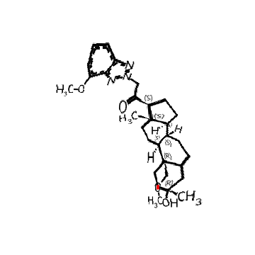 COC[C@]12CC[C@@](C)(O)CC1CC[C@@H]1[C@@H]2CC[C@]2(C)[C@@H](C(=O)Cn3nc4cccc(OC)c4n3)CC[C@@H]12